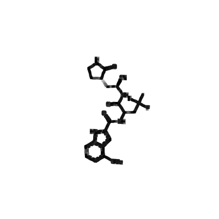 COc1cccc2[nH]c(C(=O)NC(CC(C)(F)F)C(=O)N[C@H](C#N)C[C@@H]3CCNC3=O)cc12